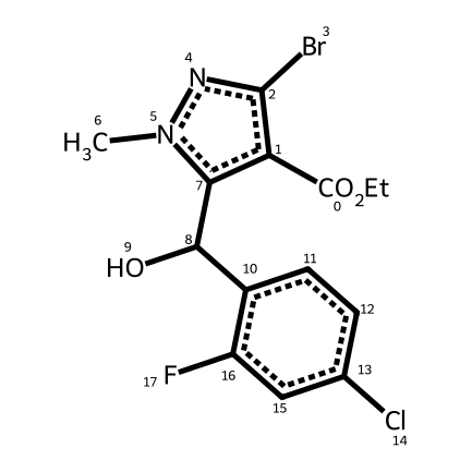 CCOC(=O)c1c(Br)nn(C)c1C(O)c1ccc(Cl)cc1F